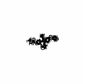 CC(C)OC(=O)Nc1ccc(-c2c(-c3ccon3)c3ccc(OC4CCOCC4)cc3n2C2CCC2)cc1